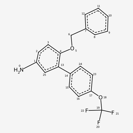 Nc1ccc(OCc2ccccc2)c(-c2ccc(OC(F)(F)F)cc2)c1